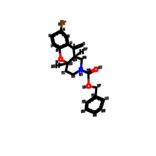 C=C1c2cc(Br)ccc2O[C@H]2CCN(C(=O)OCc3ccccc3)C[C@H]12